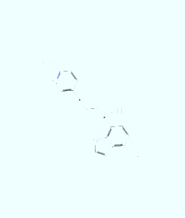 CC(C)(C)c1ccc(C(C)(C)CCC(C)(C)c2ccc(C(C)(C)C)c3cc[nH]c23)cn1